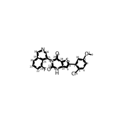 COc1ccc(Cl)c(-c2cc3[nH]c(=O)n(-c4cncc5cccc(F)c45)c(=O)c3s2)c1